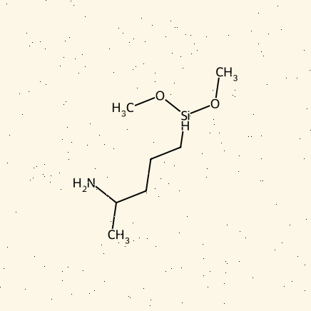 CO[SiH](CCCC(C)N)OC